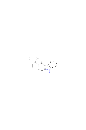 Cn1c2ccccc2c2c3c(ccc21)[C@H]1CCCCC1C3